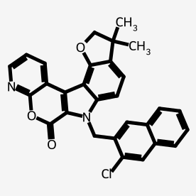 CC1(C)COc2c1ccc1c2c2c3cccnc3oc(=O)c2n1Cc1cc2ccccc2cc1Cl